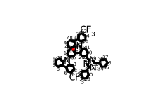 FC(F)(F)c1ccc2c(c1)c1ccccc1n2-c1ccnc(-c2cc(-c3nc(-c4ccccc4)nc(-c4ccccc4)n3)ccc2-n2c3ccccc3c3cc(C(F)(F)F)ccc32)c1